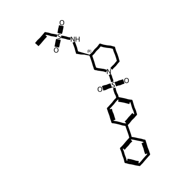 C=CS(=O)(=O)NC[C@H]1CCCN(S(=O)(=O)c2ccc(-c3ccccc3)cc2)C1